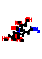 NCCCC[C@@](CC(O)CO)(C(=O)O)N(O)CC(O)CO